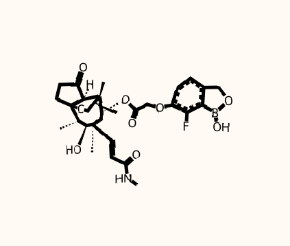 CNC(=O)/C=C/[C@]1(C)C[C@@H](OC(=O)COc2ccc3c(c2F)B(O)OC3)[C@]2(C)[C@H](C)CC[C@]3(CCC(=O)[C@H]32)[C@@H](C)[C@@H]1O